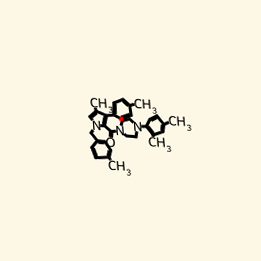 Cc1ccc(Cn2cc(C)c(-c3ccc(C)cc3)c2C(=O)N2CCN(c3ccc(C)cc3C)CC2)cc1